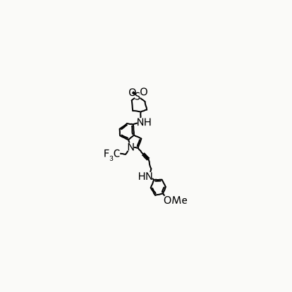 COc1ccc(NCC#Cc2cc3c(NC4CCS(=O)(=O)CC4)cccc3n2CC(F)(F)F)cc1